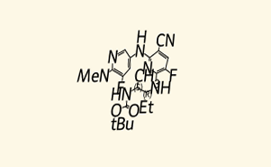 CC[C@@H](Nc1nc(Nc2cnc(NC)c(F)c2)c(C#N)cc1F)[C@H](C)NC(=O)OC(C)(C)C